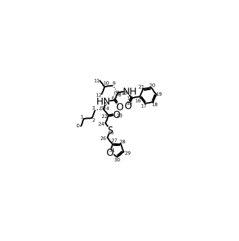 CCCC[C@H](NC(=O)[C@H](CC(C)C)NC(=O)c1ccccc1)C(=O)CSCc1ccco1